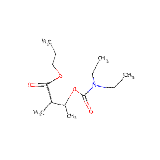 CCCOC(=O)C(C)C(C)OC(=O)N(CC)CC